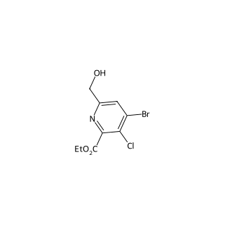 CCOC(=O)c1nc(CO)cc(Br)c1Cl